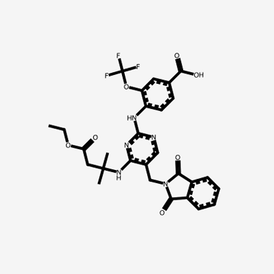 CCOC(=O)CC(C)(C)Nc1nc(Nc2ccc(C(=O)O)cc2OC(F)(F)F)ncc1CN1C(=O)c2ccccc2C1=O